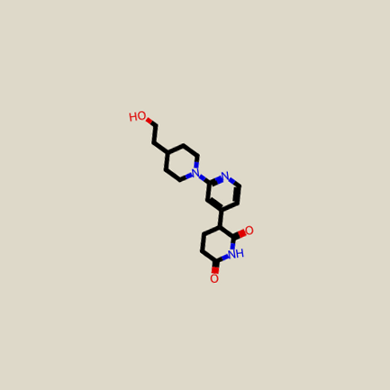 O=C1CCC(c2ccnc(N3CCC(CCO)CC3)c2)C(=O)N1